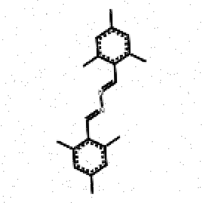 Cc1cc(C)c(/C=N/N=C/c2c(C)cc(C)cc2C)c(C)c1